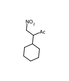 CC(=O)C(C[N+](=O)[O-])C1CCCCC1